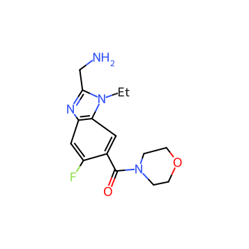 CCn1c(CN)nc2cc(F)c(C(=O)N3CCOCC3)cc21